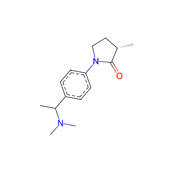 CC(c1ccc(N2CC[C@H](C)C2=O)cc1)N(C)C